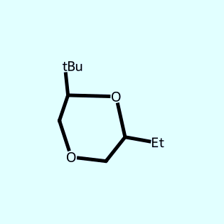 CCC1COCC(C(C)(C)C)O1